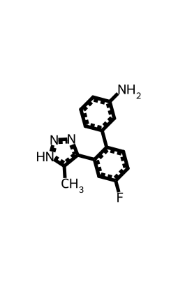 Cc1[nH]nnc1-c1cc(F)ccc1-c1cccc(N)c1